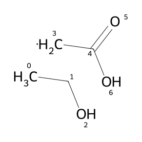 CCO.[CH2]C(=O)O